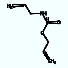 C=CCN[PH](=O)OCC=C